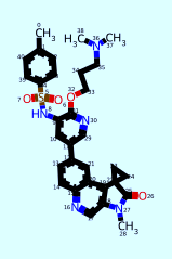 Cc1ccc(S(=O)(=O)Nc2cc(-c3ccc4ncc5c(c4c3)C3(CC3)C(=O)N5C)cnc2OCCCN(C)C)cc1